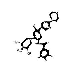 CCc1cc(C(=O)Nc2cc(-c3cnc(N4CCOCC4)nc3)c(F)cc2N2C[C@@H](C)N(C)[C@@H](C)C2)cc(Cl)c1F